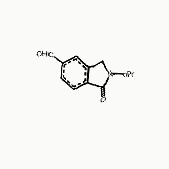 CCCN1Cc2cc([C]=O)ccc2C1=O